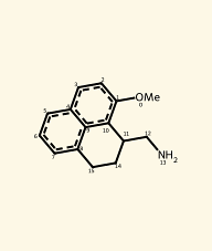 COc1ccc2cccc3c2c1C(CN)CC3